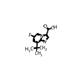 CC(C)(C)c1cc(F)cn2c(C(=O)O)cnc12